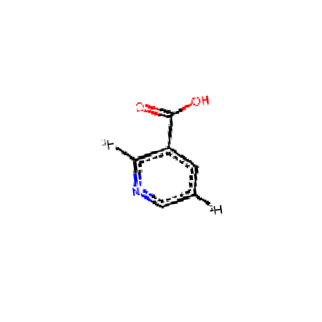 [2H]c1cnc([2H])c(C(=O)O)c1